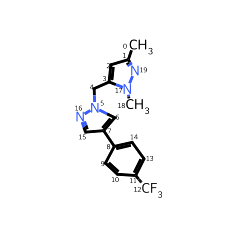 Cc1cc(Cn2cc(-c3ccc(C(F)(F)F)cc3)cn2)n(C)n1